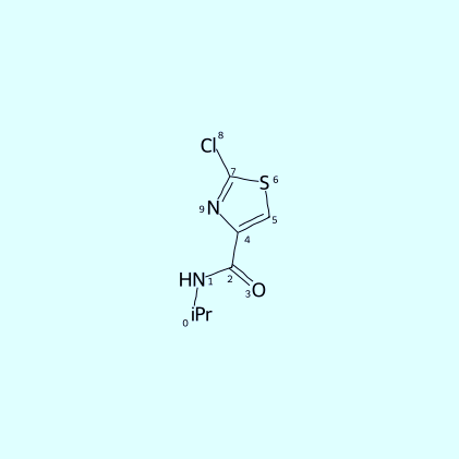 CC(C)NC(=O)c1csc(Cl)n1